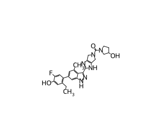 CCc1cc(O)c(F)cc1-c1cc(C)c2c(-c3nc4c([nH]3)CN(C(=O)N3CCC(O)C3)C4)n[nH]c2c1